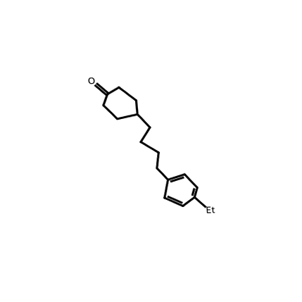 CCc1ccc(CCCCC2CCC(=O)CC2)cc1